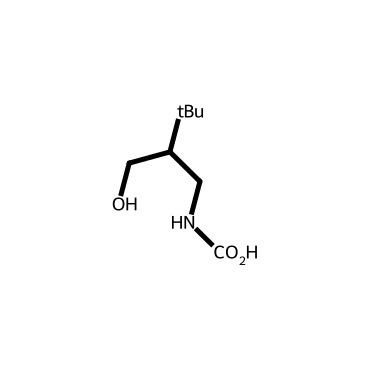 CC(C)(C)C(CO)CNC(=O)O